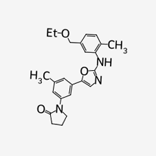 CCOCc1ccc(C)c(Nc2ncc(-c3cc(C)cc(N4CCCC4=O)c3)o2)c1